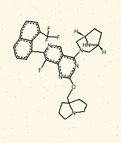 Fc1c(-c2cccc3cccc(C(F)(F)F)c23)ncc2c(N3C[C@H]4CC[C@@H](C3)N4)nc(OCC34CCCN3CCC4)nc12